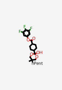 CCCCCC1(C)COC(O)(C2CCC(C(=O)Oc3cc(F)c(F)c(F)c3)CC2)OC1